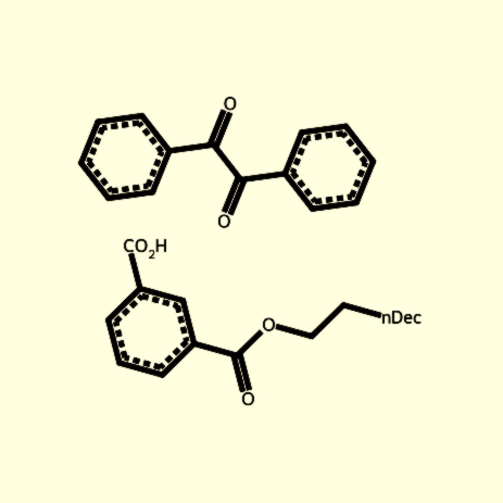 CCCCCCCCCCCCOC(=O)c1cccc(C(=O)O)c1.O=C(C(=O)c1ccccc1)c1ccccc1